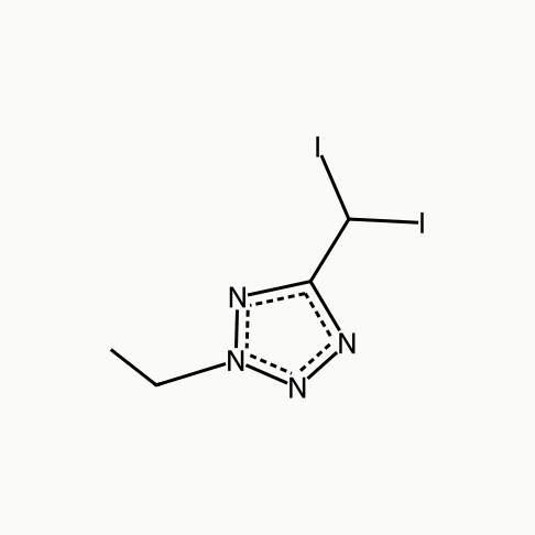 CCn1nnc(C(I)I)n1